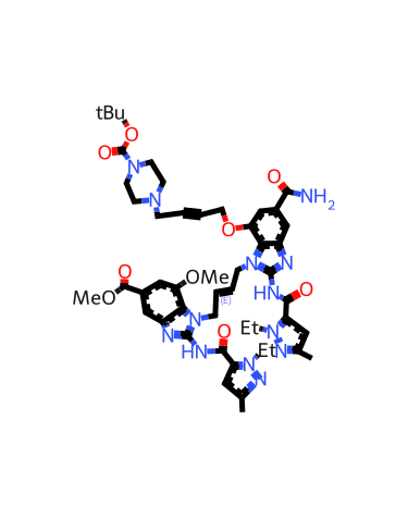 CCn1nc(C)cc1C(=O)Nc1nc2cc(C(=O)OC)cc(OC)c2n1C/C=C/Cn1c(NC(=O)c2cc(C)nn2CC)nc2cc(C(N)=O)cc(OCC#CCN3CCN(C(=O)OC(C)(C)C)CC3)c21